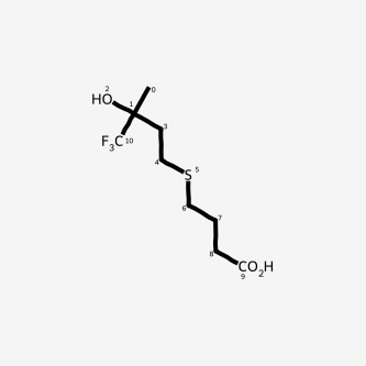 CC(O)(CCSCCCC(=O)O)C(F)(F)F